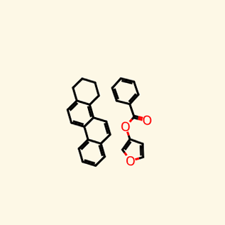 O=C(Oc1ccoc1)c1ccccc1.c1ccc2c(c1)ccc1c3c(ccc12)CCCC3